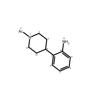 CC(=O)N1CCC(c2ccccc2N)CC1